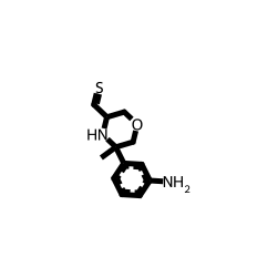 CC1(c2cccc(N)c2)COCC(C=S)N1